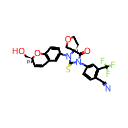 N#Cc1ccc(N2C(=O)[C@@]3(CCOC3)N(c3ccc4c(c3)C=C[C@@H](CO)O4)C2=S)cc1C(F)(F)F